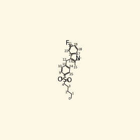 CCCCCS(=O)(=O)c1ccc(CC2=C(C)[N]c3ccc(F)cc32)cc1